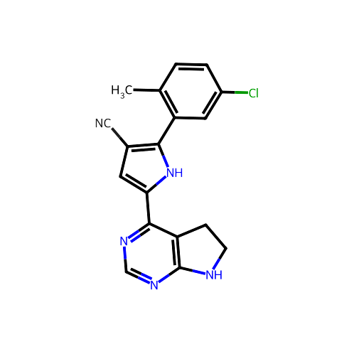 Cc1ccc(Cl)cc1-c1[nH]c(-c2ncnc3c2CCN3)cc1C#N